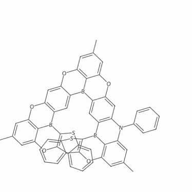 Cc1cc2c3c(c1)Oc1cc4c(cc1B3c1cc3c(cc1O2)Oc1cc(C)cc2c1B3c1sc3ccccc3c1O2)B1c2sc3ccccc3c2Oc2cc(C)cc(c21)N4c1ccccc1